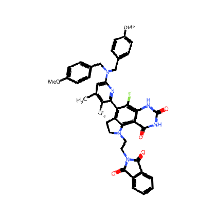 COc1ccc(CN(Cc2ccc(OC)cc2)c2cc(C)c(C(F)(F)F)c(-c3c4c(c5c(=O)[nH]c(=O)[nH]c5c3F)N(CCN3C(=O)c5ccccc5C3=O)CC4)n2)cc1